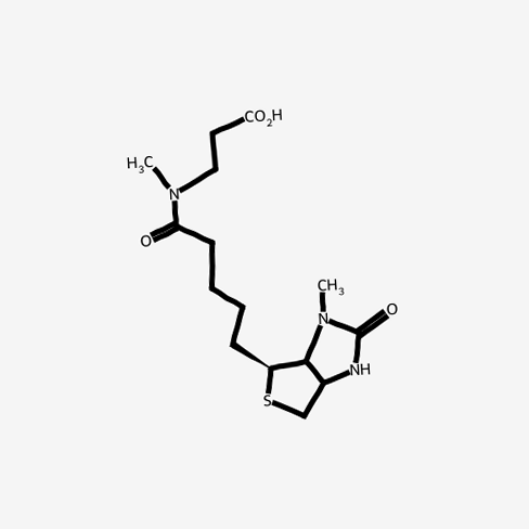 CN(CCC(=O)O)C(=O)CCCC[C@@H]1SCC2NC(=O)N(C)C21